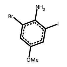 COc1cc(Br)c(N)c(I)c1